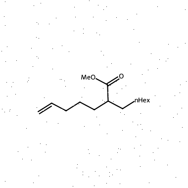 C=CCCCC(CCCCCCC)C(=O)OC